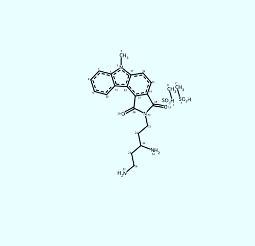 CS(=O)(=O)O.CS(=O)(=O)O.Cn1c2ccccc2c2c3c(ccc21)C(=O)N(CCC(N)CCN)C3=O